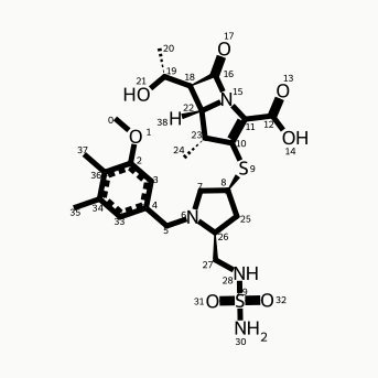 COc1cc(CN2C[C@@H](SC3=C(C(=O)O)N4C(=O)[C@H]([C@@H](C)O)[C@H]4[C@H]3C)C[C@H]2CNS(N)(=O)=O)cc(C)c1C